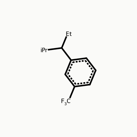 CCC(c1cccc(C(F)(F)F)c1)C(C)C